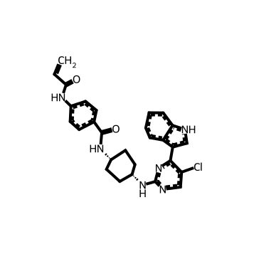 C=CC(=O)Nc1ccc(C(=O)N[C@H]2CC[C@@H](Nc3ncc(Cl)c(-c4c[nH]c5ccccc45)n3)CC2)cc1